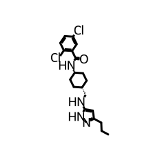 CCCc1cc(NC[C@H]2CC[C@H](NC(=O)c3cc(Cl)ccc3Cl)CC2)[nH]n1